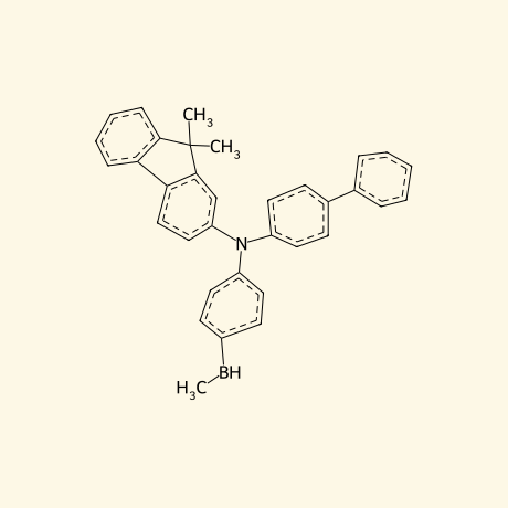 CBc1ccc(N(c2ccc(-c3ccccc3)cc2)c2ccc3c(c2)C(C)(C)c2ccccc2-3)cc1